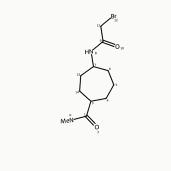 CNC(=O)C1CCCC(NC(=O)CBr)CC1